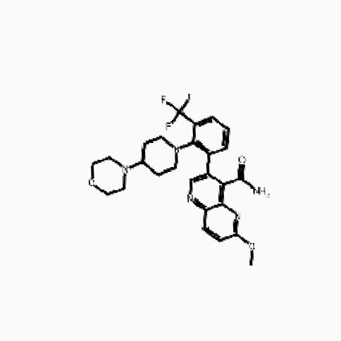 COc1ccc2ncc(-c3cccc(C(F)(F)F)c3N3CCC(N4CCOCC4)CC3)c(C(N)=O)c2n1